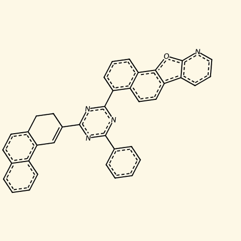 C1=C(c2nc(-c3ccccc3)nc(-c3cccc4c3ccc3c5cccnc5oc43)n2)CCc2ccc3ccccc3c21